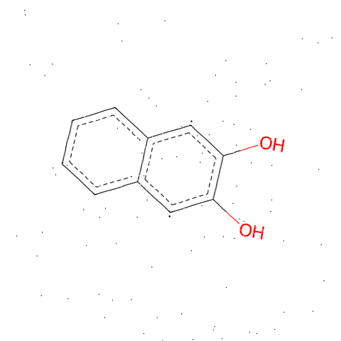 Oc1[c]c2ccccc2[c]c1O